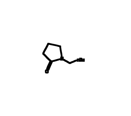 CCCCCN1CCCC1=O